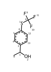 CC(O)c1ccc(SC(F)(F)F)cc1